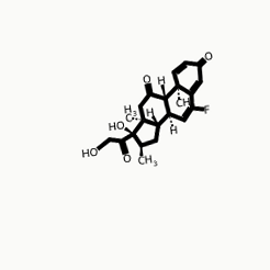 C[C@@H]1C[C@H]2[C@@H]3C=C(F)C4=CC(=O)C=C[C@]4(C)[C@H]3C(=O)C[C@]2(C)[C@@]1(O)C(=O)CO